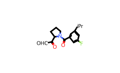 CC(C)c1cc(F)cc(C(=O)N2CCCC2C(=O)C=O)c1